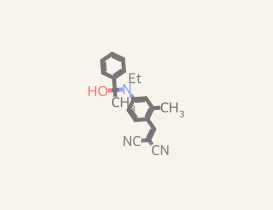 CCN(c1ccc(C=C(C#N)C#N)c(C)c1)C(C)(O)c1ccccc1